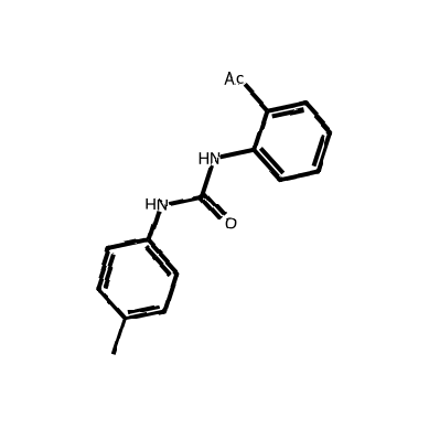 CC(=O)c1ccccc1NC(=O)Nc1ccc(C)cc1